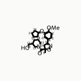 COc1ccc(C2=NOC(C)(C(=O)N3CCCC(CO)C3)C2)cc1OC1CCCC1